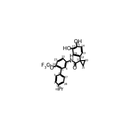 CC(C)c1ccc(-c2cc(NC(=O)C3(c4ccc(O)c(O)c4)CC3)ccc2OC(F)(F)F)cc1